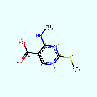 CNc1nc(SC)ncc1C(=O)O